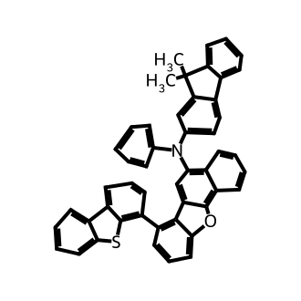 CC1(C)c2ccccc2-c2ccc(N(c3ccccc3)c3cc4c(oc5cccc(-c6cccc7c6sc6ccccc67)c54)c4ccccc34)cc21